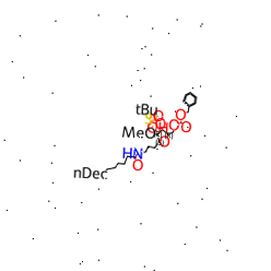 CCCCCCCCCCCCCCCC(=O)NCCC[C@@H]1O[C@H](COC(=O)OCc2ccccc2)C(OP(O)(=S)OC(C)(C)C)[C@@H]1OC